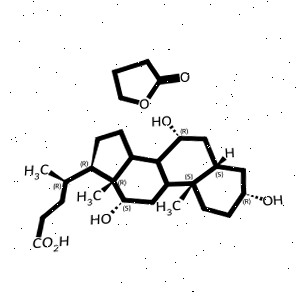 C[C@H](CCC(=O)O)[C@H]1CCC2C3C(C[C@H](O)[C@@]21C)[C@@]1(C)CC[C@@H](O)C[C@H]1C[C@H]3O.O=C1CCCO1